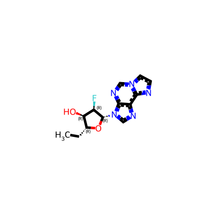 CC[C@H]1O[C@@H](n2cnc3c2ncn2ccnc32)[C@H](F)[C@@H]1O